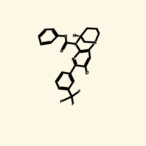 O=C(Oc1ccccc1)N1c2nc(-c3cccc(C(F)(F)F)c3)c(Cl)cc2N2CCC[C@H]1C2